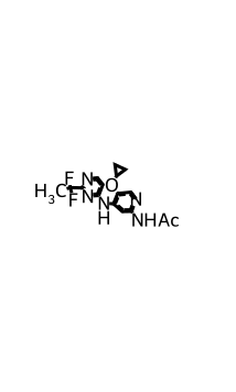 CC(=O)Nc1cc(Nc2ccnc(C(C)(F)F)n2)c(OC2CC2)cn1